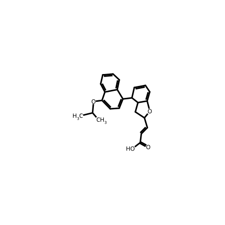 CC(C)Oc1ccc(C2C=CC=C3OC(C=CC(=O)O)CC32)c2ccccc12